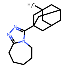 CC12CC3CC(C1)CC(c1nnc4n1CCCCC4)(C3)C2